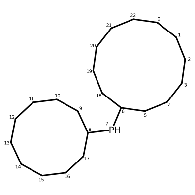 C1CCCCCC(PC2CCCCCCCCC2)CCCCC1